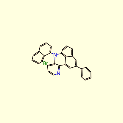 Brc1cccc2cccc(N3c4cccnc4-c4cc(-c5ccccc5)cc5cccc3c45)c12